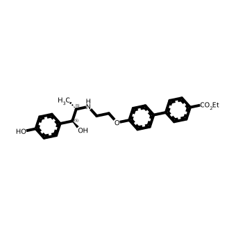 CCOC(=O)c1ccc(-c2ccc(OCCN[C@@H](C)[C@@H](O)c3ccc(O)cc3)cc2)cc1